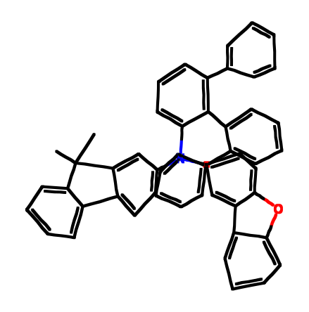 CC1(C)c2ccccc2-c2ccc(N(c3ccc4oc5ccccc5c4c3)c3cccc(-c4ccccc4)c3-c3ccccc3-c3ccccc3)cc21